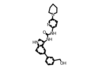 O=C(Nc1ccc(N2CCCCC2)cn1)Nc1c[nH]c2ccc(-c3cccc(CO)c3)cc12